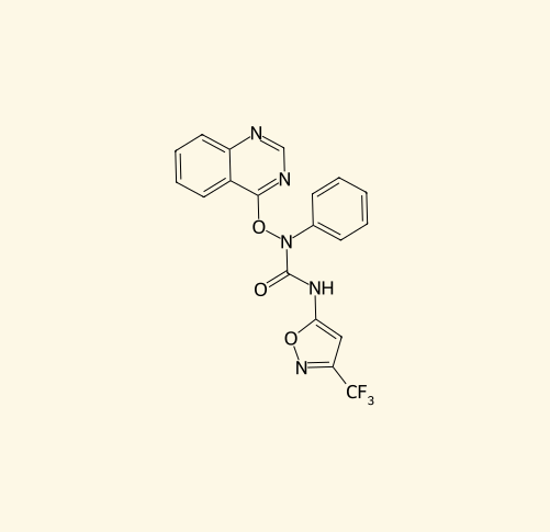 O=C(Nc1cc(C(F)(F)F)no1)N(Oc1ncnc2ccccc12)c1ccccc1